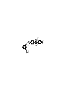 N#Cc1cccc(CON=C2CCN(S(=O)(=O)c3ccc(F)cc3F)CC2)c1